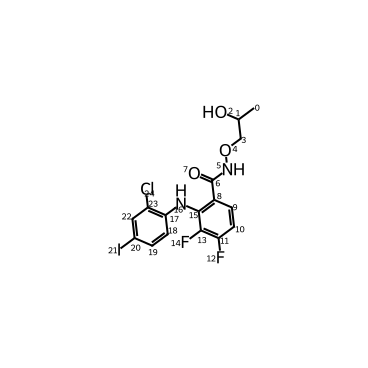 CC(O)CONC(=O)c1ccc(F)c(F)c1Nc1ccc(I)cc1Cl